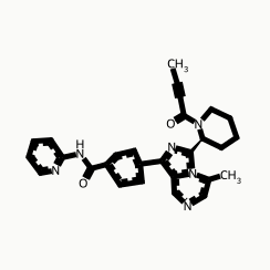 CC#CC(=O)N1CCCC[C@H]1c1nc(-c2ccc(C(=O)Nc3ccccn3)cc2)c2cncc(C)n12